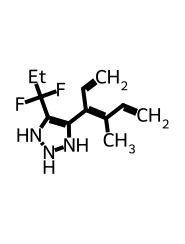 C=C/C(C)=C(\C=C)C1=C(C(F)(F)CC)NNN1